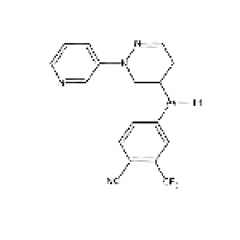 CC[As](c1ccc(C#N)c(C(F)(F)F)c1)C1CC=NN(c2cccnc2)C1